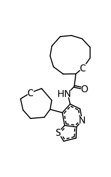 O=C(Nc1cnc2ccsc2c1C1CCCCCCC1)C1CCCCCCCCCC1